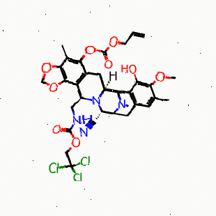 C=CCOC(=O)Oc1c(C)c2c(c3c1C[C@H]1C4c5c(cc(C)c(OC)c5O)CC([C@H](C#N)N1[C@H]3CNC(=O)OCC(Cl)(Cl)Cl)N4C)OCO2